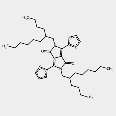 CCCCCCC(CCCC)CN1C(=O)C2=C(c3cccs3)N(CC(CCCC)CCCCCC)C(=O)C2=C1c1cccs1